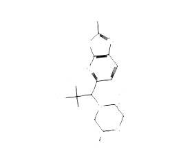 [2H]C([2H])([2H])C(c1ccc2nc(C)sc2n1)N1C[C@H](CC)NC[C@H]1CC